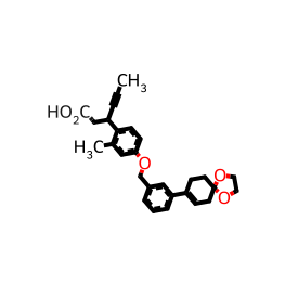 CC#CC(CC(=O)O)c1ccc(OCc2cccc(C3=CCC4(CC3)OCCO4)c2)cc1C